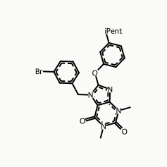 CCCC(C)c1cccc(Oc2nc3c(c(=O)n(C)c(=O)n3C)n2Cc2cccc(Br)c2)c1